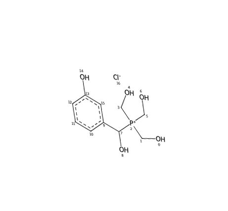 OC[P+](CO)(CO)C(O)c1cccc(O)c1.[Cl-]